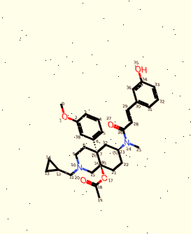 COc1cccc([C@@]23CCN(CC4CC4)C[C@@]2(OC(C)=O)CC[C@H](N(C)C(=O)C=Cc2cccc(O)c2)C3)c1